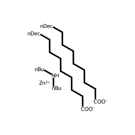 CCCCCCCCCCCCCCCCCC(=O)[O-].CCCCCCCCCCCCCCCCCC(=O)[O-].CCCCNCCCC.[Zn+2]